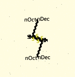 CCCCCCCCCCC(CCCCCCCC)CCCCCCCCc1[c]([Sn]([CH3])([CH3])[CH3])sc2c1sc1c3s[c]([Sn]([CH3])([CH3])[CH3])c(CCCCCCCCC(CCCCCCCC)CCCCCCCCCC)c3sc21